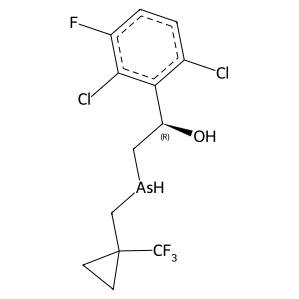 O[C@@H](C[AsH]CC1(C(F)(F)F)CC1)c1c(Cl)ccc(F)c1Cl